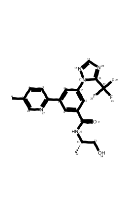 Cc1ccc(-c2cc(C(=O)N[C@@H](C)CO)cc(-n3ncnc3C(F)(F)F)c2)nc1